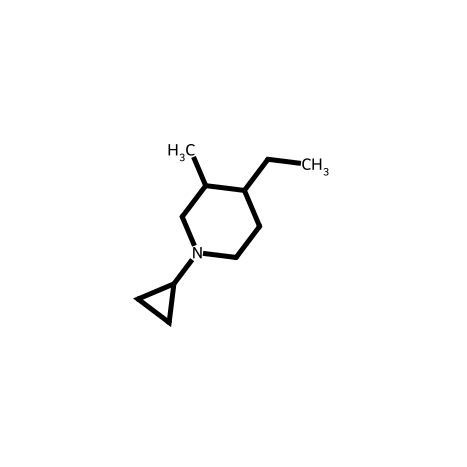 CCC1CCN(C2CC2)CC1C